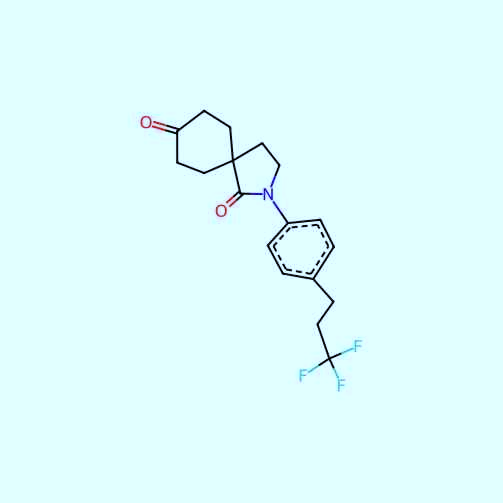 O=C1CCC2(CC1)CCN(c1ccc(CCC(F)(F)F)cc1)C2=O